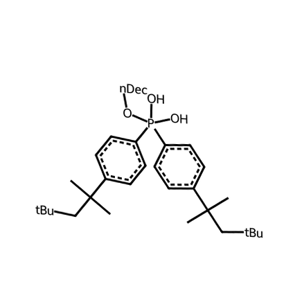 CCCCCCCCCCOP(O)(O)(c1ccc(C(C)(C)CC(C)(C)C)cc1)c1ccc(C(C)(C)CC(C)(C)C)cc1